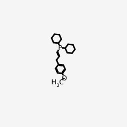 COc1ccc(CC=CP(C2CCCCC2)C2CCCCC2)cc1